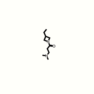 CCC1CN(C(=O)CCN(C)C)C1